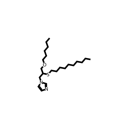 CCCCCCCCCCSC(COCCCCCC)Cn1ccnc1